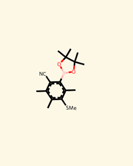 CSc1c(C)c(C)c(C#N)c(B2OC(C)(C)C(C)(C)O2)c1C